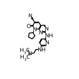 CN(C)CCNc1ccc(Nc2ncc3cc(C#N)c(=O)n(C4CCCC4)c3n2)nc1